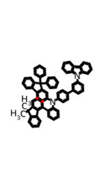 CC1(C)c2ccccc2-c2c(-c3ccccc3N(c3ccc(-c4cccc(-n5c6ccccc6c6ccccc65)c4)cc3)c3ccc4c(c3)C(c3ccccc3)(c3ccccc3)c3ccccc3-4)cccc21